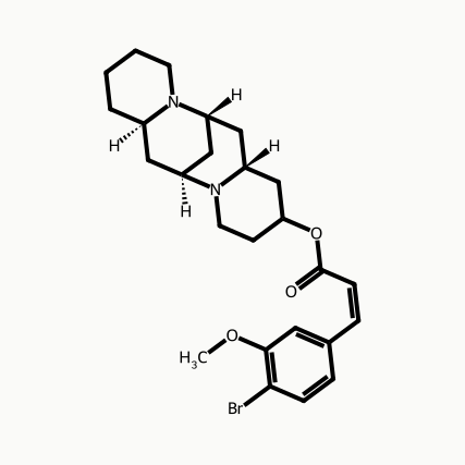 COc1cc(/C=C\C(=O)OC2CCN3[C@@H]4C[C@@H](C[C@@H]3C2)N2CCCC[C@@H]2C4)ccc1Br